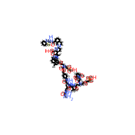 Cc1c(-c2ccc(N3CCc4cccc(C(=O)Nc5nc6ccccc6s5)c4C3)nc2C(=O)O)cnn1CC12CC3(C)CCC1C(C)CC(OCCN(CCS(=O)(=O)O)C(=O)OCc1ccc(NC(=O)[C@H](CCCNC(N)=O)NC(=O)[C@@H](NC(=O)CCN(CCOCCS(=O)(=O)O)C(=O)CN4C(=O)C=CC4=O)C(C)C)cc1)(C3)C2